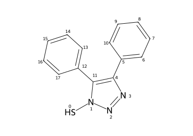 Sn1nnc(-c2ccccc2)c1-c1ccccc1